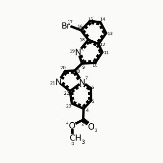 COC(=O)c1ccn2c(-c3ccc4cccc(Br)c4n3)cnc2c1